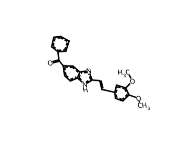 COc1ccc(C=Cc2nc3cc(C(=O)c4ccccc4)ccc3[nH]2)cc1OC